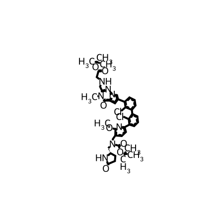 COc1nc(-c2cccc(-c3cccc(-c4cc5c(=O)n(C)c(CNCC(=O)OC(C)(C)C)nn5c4)c3Cl)c2Cl)ccc1CN(C[C@@H]1CCC(=O)N1)C(=O)OC(C)(C)C